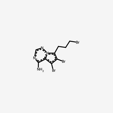 Nc1ncnn2c(CCCBr)c(Br)c(Br)c12